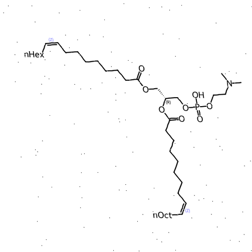 CCCCCC/C=C\CCCCCCCC(=O)OC[C@H](COP(=O)(O)OCCN(C)C)OC(=O)CCCCCCC/C=C\CCCCCCCC